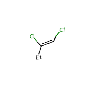 [CH2]CC(Cl)=CCl